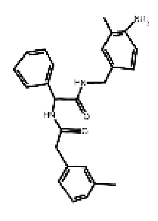 Cc1cccc(CC(=O)NC(C(=O)NCc2ccc(N)c(C)c2)c2ccccc2)c1